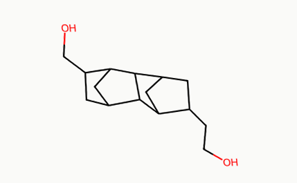 OCCC1CC2CC1C1C3CC(CO)C(C3)C21